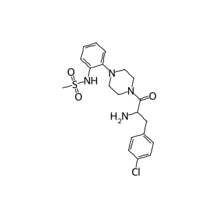 CS(=O)(=O)Nc1ccccc1N1CCN(C(=O)C(N)Cc2ccc(Cl)cc2)CC1